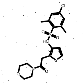 Cc1cc(Cl)cc(C)c1S(=O)(=O)Nc1ccsc1CC(=O)N1CCOCC1